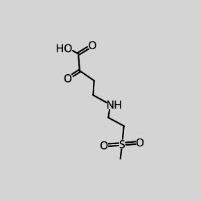 CS(=O)(=O)CCNCCC(=O)C(=O)O